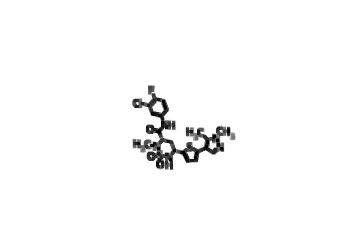 Cc1c(-c2ccc([C@@H]3C[C@H](C(=O)Nc4ccc(F)c(Cl)c4)N(C)S(=O)(=O)N3)s2)cnn1C